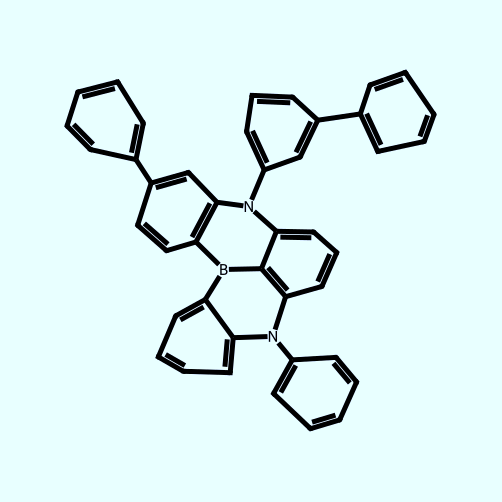 c1ccc(-c2cccc(N3c4cc(-c5ccccc5)ccc4B4c5ccccc5N(c5ccccc5)c5cccc3c54)c2)cc1